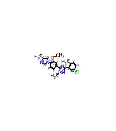 COc1cc(-c2nc(-c3cc(Cl)ccc3C)nn2C)ccc1-n1cnc(C)c1